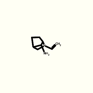 C=CN1CC2CCC1C2N